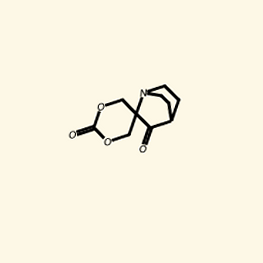 O=C1OCC2(CO1)C(=O)C1CCN2CC1